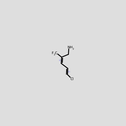 NC/C(=C\C=C\Cl)C(F)(F)F